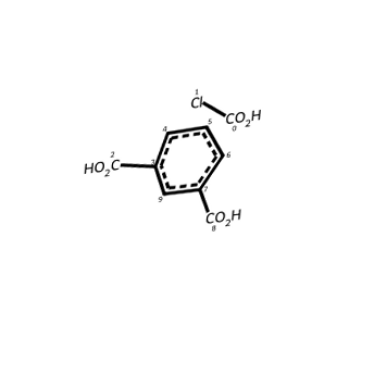 O=C(O)Cl.O=C(O)c1cccc(C(=O)O)c1